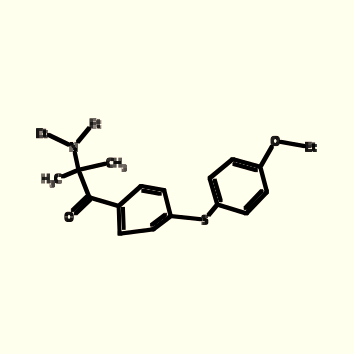 CCOc1ccc(Sc2ccc(C(=O)C(C)(C)N(CC)CC)cc2)cc1